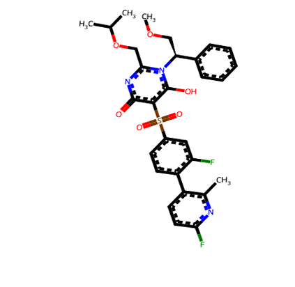 COC[C@@H](c1ccccc1)n1c(COC(C)C)nc(=O)c(S(=O)(=O)c2ccc(-c3ccc(F)nc3C)c(F)c2)c1O